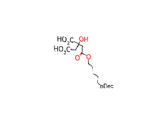 CCCCCCCCCCCCCCCOC(=O)CC(O)(CC(=O)O)C(=O)O